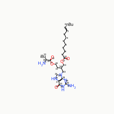 CCCCC=CCCCCCCCC(=O)OCC(CCOC(=O)C(N)C(C)CC)CN1CNc2c1nc(N)[nH]c2=O